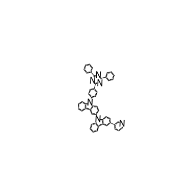 c1ccc(-c2nc(-c3ccccc3)nc(-c3ccc(-n4c5ccccc5c5cc(-n6c7ccccc7c7cc(-c8cccnc8)ccc76)ccc54)cc3)n2)cc1